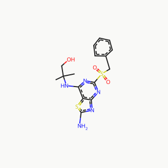 CC(C)(CO)Nc1nc(S(=O)(=O)Cc2ccccc2)nc2nc(N)sc12